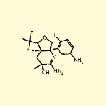 CC1(C#N)C[C@@H]2C(C(C)(F)F)OC[C@]2(c2cc(N)ccc2F)N=C1N